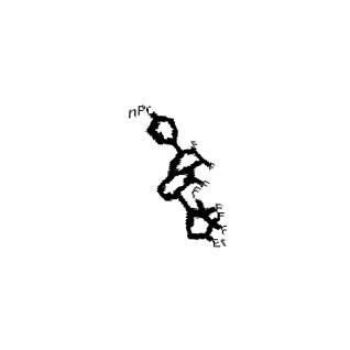 CCCc1ccc(-c2cc3ccc(C4=CC=C(CC)C(F)(F)C4(F)F)c(F)c3c(F)c2F)cc1